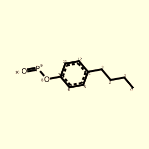 CCCCc1ccc(OP=O)cc1